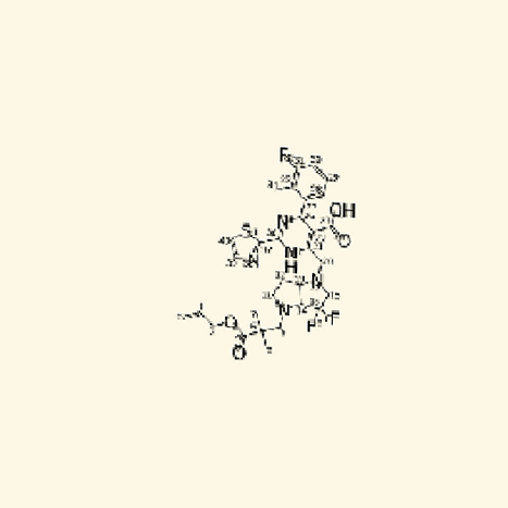 C=CCOC(=O)C(C)(C)CN1CCC2C1C(F)(F)CN2CC1=C(C(=O)O)C(c2cccc(F)c2C)N=C(c2nccs2)N1